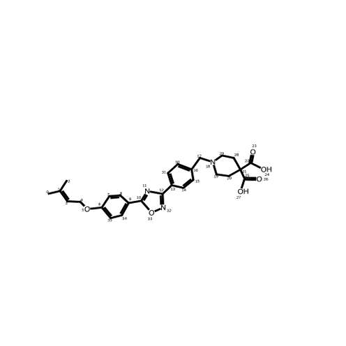 CC(C)=CCOc1ccc(-c2nc(-c3ccc(CN4CCC(C(=O)O)(C(=O)O)CC4)cc3)no2)cc1